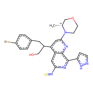 C[C@@H]1COCCN1c1cc(C(CO)Cc2ccc(Br)cc2)c2cc(N=S)nc(-c3ccn[nH]3)c2n1